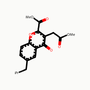 COC(=O)Cc1c(C(=O)OC)oc2ccc(CC(C)C)cc2c1=O